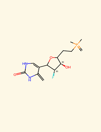 C=C1NC(=O)NC=C1C1OC(CCP(=C)(C)C)[C@@H](O)[C@H]1F